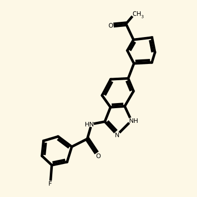 CC(=O)c1cccc(-c2ccc3c(NC(=O)c4cccc(F)c4)n[nH]c3c2)c1